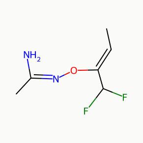 C/C=C(\O/N=C(/C)N)C(F)F